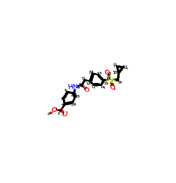 COC(=O)c1ccc(NC(=O)Cc2ccc(S(=O)(=O)CC3CC3)cc2)cc1